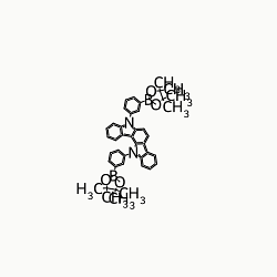 CC1(C)OB(c2cccc(-n3c4ccccc4c4c3ccc3c5ccccc5n(-c5cccc(B6OC(C)(C)C(C)(C)O6)c5)c34)c2)OC1(C)C